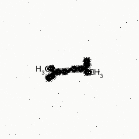 Cc1cccc(N(c2ccc(-c3ccc(/C=C/c4ccc(-c5ccc(N(c6cccc(C)c6)c6ccc7ccccc7c6)cc5)cc4)cc3)cc2)c2ccc3ccccc3c2)c1